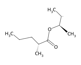 C[CH][C@@H](C)OC(=O)[C@H](C)CCC